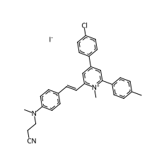 Cc1ccc(-c2cc(-c3ccc(Cl)cc3)cc(/C=C/c3ccc(N(C)CCC#N)cc3)[n+]2C)cc1.[I-]